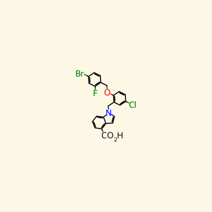 O=C(O)c1cccc2c1ccn2Cc1cc(Cl)ccc1OCc1ccc(Br)cc1F